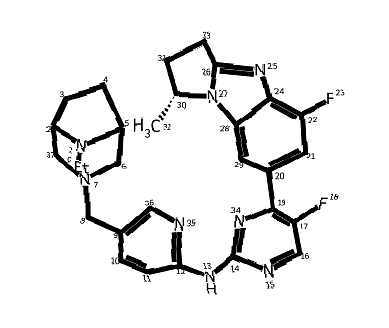 CCN1C2CCC1CN(Cc1ccc(Nc3ncc(F)c(-c4cc(F)c5nc6n(c5c4)[C@H](C)CC6)n3)nc1)C2